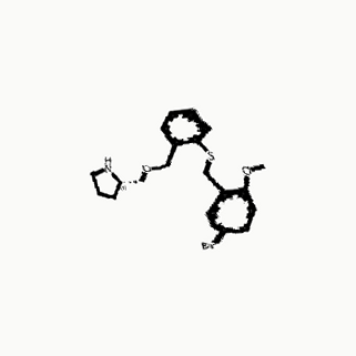 COc1ccc(Br)cc1CSc1ccccc1COC[C@@H]1CCCN1